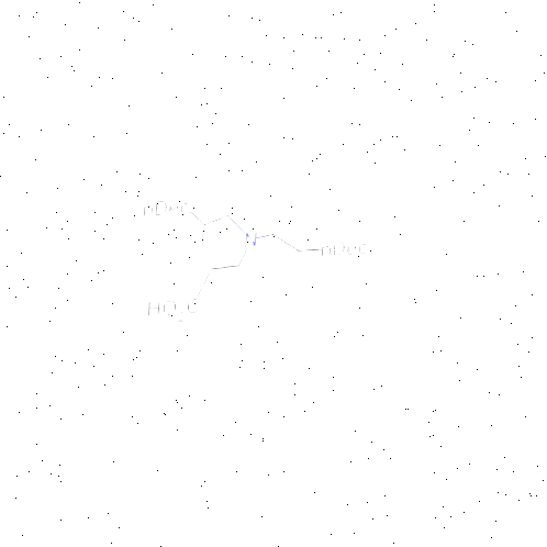 CCCCCCCCCCCCN(CCCCCCCCCCCC)CCC(=O)O